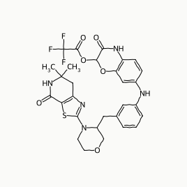 CC1(C)Cc2nc(N3CCOCC3Cc3cccc(Nc4ccc5c(c4)OC(OC(=O)C(F)(F)F)C(=O)N5)c3)sc2C(=O)N1